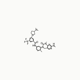 CNc1ncc2c(n1)N(C)C(=O)N(c1cc(NC(=O)c3cc(N4CCC(N(C)C)C4)cc(C(F)(F)F)c3)ccc1C)C2